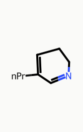 CCCC1=CCCN=C1